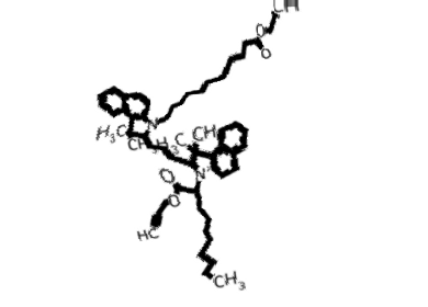 C#CCOC(=O)CCCCCCCCCCN1/C(=C\C=C\C2=[N+](C(CCCCCCCCC)C(=O)OCC#C)c3ccc4ccccc4c3C2(C)C)C(C)(C)c2c1ccc1ccccc21